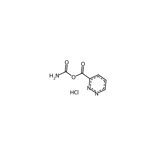 Cl.NC(=O)OC(=O)c1cccnn1